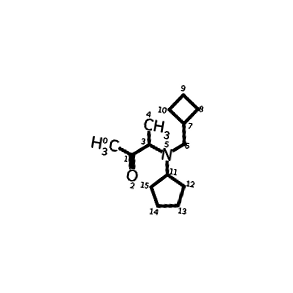 CC(=O)C(C)N(CC1CCC1)C1CCCC1